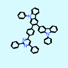 c1ccc(-c2cc(-c3ccc(-c4cc5c(cc4-c4ccc6c(c4)c4ccccc4n6-c4ccccc4)c4ccccc4n5-c4ccccc4)cc3)nc(-c3ccccc3)n2)cc1